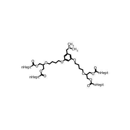 CCCCCCCC(=O)OCC(COC(=O)CCCCCCC)OCCCCOc1cc(CN(C)C)cc(OCCCCOC(COC(=O)CCCCCCC)COC(=O)CCCCCCC)c1